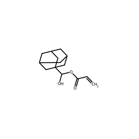 C=CC(=O)OC(O)C12CC3CC(CC(C3)C1)C2